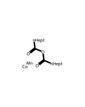 CCCCCCCC(=O)OC(=O)CCCCCCC.[Co].[Mn]